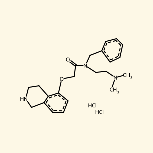 CN(C)CCN(Cc1ccccc1)C(=O)COc1cccc2c1CCNC2.Cl.Cl